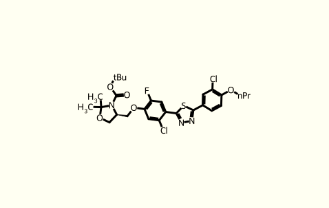 CCCOc1ccc(-c2nnc(-c3cc(F)c(OC[C@H]4COC(C)(C)N4C(=O)OC(C)(C)C)cc3Cl)s2)cc1Cl